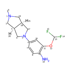 CN1C[C@@H]2CN(c3ccc(N)c(OC(F)F)c3)C[C@@H]2C1